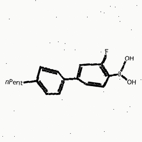 CCCCCc1ccc(-c2ccc(B(O)O)c(F)c2)cc1